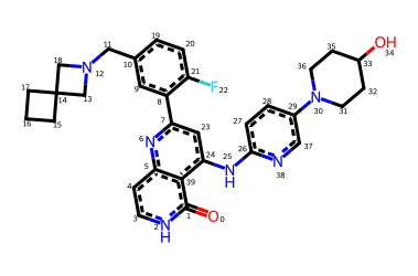 O=c1[nH]ccc2nc(-c3cc(CN4CC5(CCC5)C4)ccc3F)cc(Nc3ccc(N4CCC(O)CC4)cn3)c12